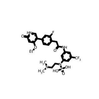 CCOc1cc(=O)[nH]cc1-c1ccc(CC(=O)Nc2cc(N(CCN(C)C)P(=O)(O)O)cc(C(F)(F)F)c2)c(F)c1